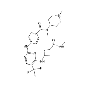 CNC(=O)C1CC(Nc2nc(Nc3ccc(C(=O)N(C)C4CCN(C)CC4)cc3)ncc2C(F)(F)F)C1